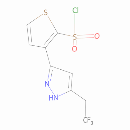 O=S(=O)(Cl)c1sccc1-c1cc(CC(F)(F)F)[nH]n1